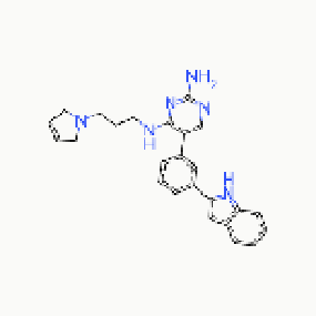 Nc1ncc(-c2cccc(-c3cc4ccccc4[nH]3)c2)c(NCCCN2CC=CC2)n1